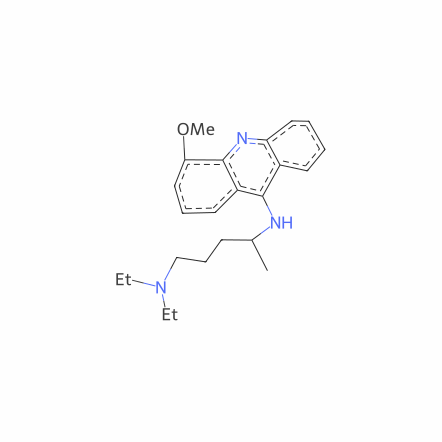 CCN(CC)CCCC(C)Nc1c2ccccc2nc2c(OC)cccc12